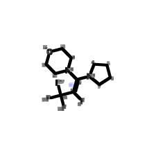 F/C(=C(\N1CCCC1)N1CCOCC1)C(F)(F)F